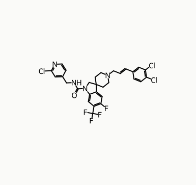 O=C(NCc1ccnc(Cl)c1)N1CC2(CCN(C/C=C/c3ccc(Cl)c(Cl)c3)CC2)c2cc(F)c(C(F)(F)F)cc21